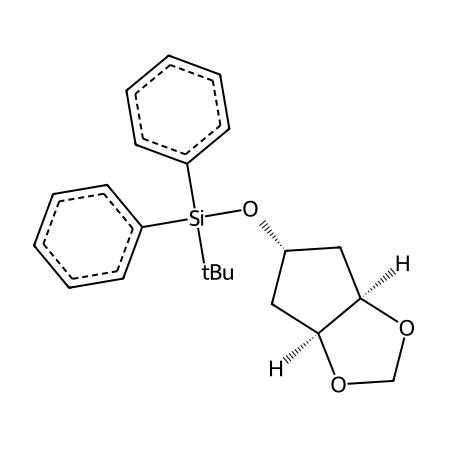 CC(C)(C)[Si](O[C@H]1C[C@@H]2OCO[C@@H]2C1)(c1ccccc1)c1ccccc1